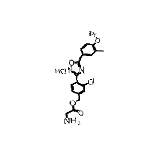 Cc1cc(-c2nc(-c3ccc(COC(=O)CN)cc3Cl)no2)ccc1OC(C)C.Cl